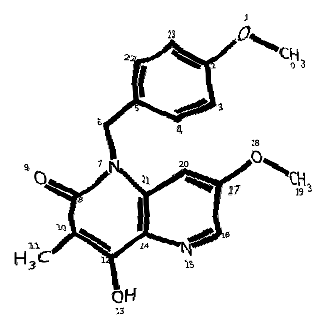 COc1ccc(Cn2c(=O)c(C)c(O)c3ncc(OC)cc32)cc1